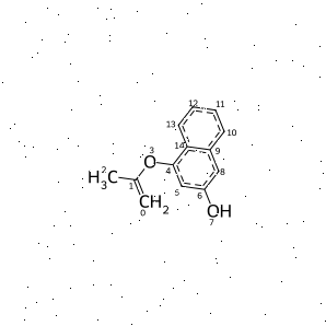 C=C(C)Oc1cc(O)cc2ccccc12